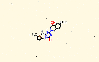 Cc1nc(N2Cc3ccc(OCC(C)C)cc3C(O)C2)nc(=O)n1Cc1ccc(C(F)(F)F)s1